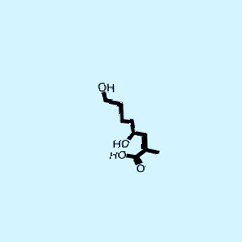 CC(=CC(O)CCCCO)C(=O)O